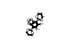 Fc1c(F)c(B2OCCCO2)c2nonc2c1B1OCCCO1